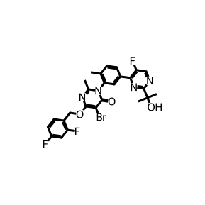 Cc1ccc(-c2nc(C(C)(C)O)ncc2F)cc1-n1c(C)nc(OCc2ccc(F)cc2F)c(Br)c1=O